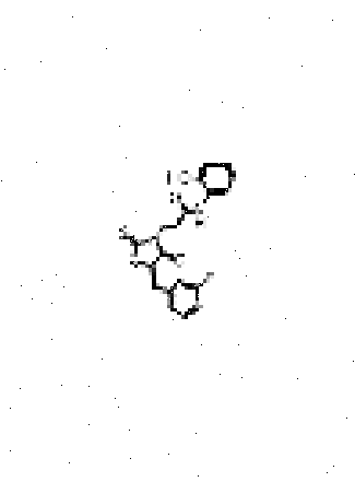 O=C(CCN1C(=O)C(=Cc2cccc(F)c2)SC1=S)Nc1ccccc1O